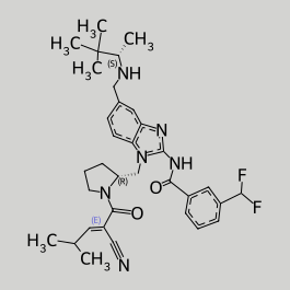 CC(C)/C=C(\C#N)C(=O)N1CCC[C@@H]1Cn1c(NC(=O)c2cccc(C(F)F)c2)nc2cc(CN[C@@H](C)C(C)(C)C)ccc21